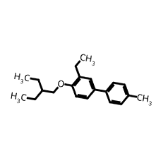 CCc1cc(-c2ccc(C)cc2)ccc1OCC(CC)CC